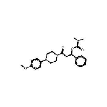 COc1ccc(N2CCN(C(=O)CC(OC(=O)N(C)C)c3ccccc3)CC2)cc1